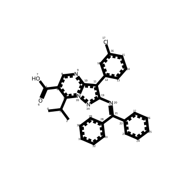 CC(C)c1c(C(=O)O)cnc2c(-c3cccc(Cl)c3)c(N=C(c3ccccc3)c3ccccc3)nn12